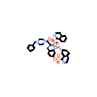 CN([C@@H](Cc1ccc(OS(=O)(=O)c2nccc3ccccc23)cc1)C(=O)N1CCN(Cc2ccccc2)CC1)S(=O)(=O)c1nccc2ccccc12